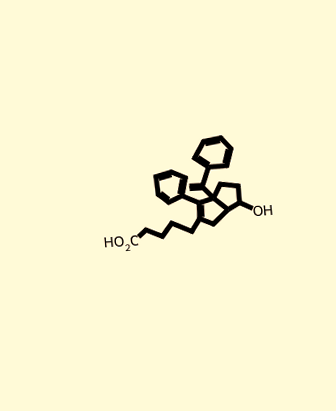 C=C(c1ccccc1)C12CCC(O)C1CC(CCCCC(=O)O)=C2c1ccccc1